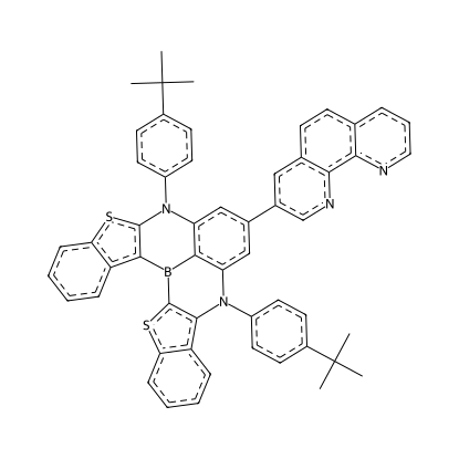 CC(C)(C)c1ccc(N2c3cc(-c4cnc5c(ccc6cccnc65)c4)cc4c3B(c3sc5ccccc5c3N4c3ccc(C(C)(C)C)cc3)c3c2sc2ccccc32)cc1